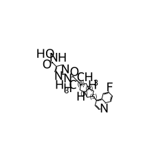 CC(C)(C(=O)Nc1ncc(C(=O)NO)cn1)[C@H]1C[C@H]2C[C@@H](c3ccnc4ccc(F)cc34)C[C@H]2C1